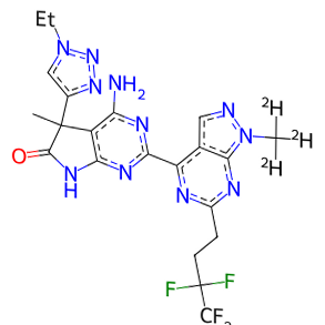 [2H]C([2H])([2H])n1ncc2c(-c3nc(N)c4c(n3)NC(=O)C4(C)c3cn(CC)nn3)nc(CCC(F)(F)C(F)(F)F)nc21